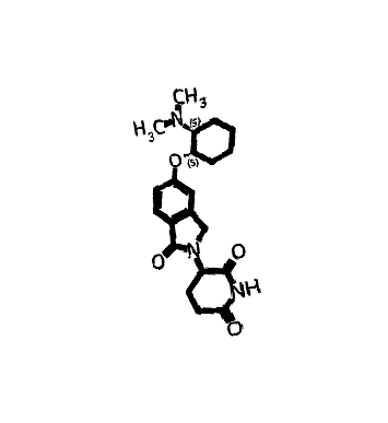 CN(C)[C@H]1CCCC[C@@H]1Oc1ccc2c(c1)CN(C1CCC(=O)NC1=O)C2=O